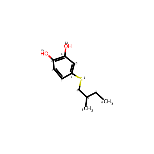 CCC(C)CSc1ccc(O)c(O)c1